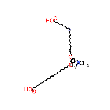 CN(C)Cc1cc(OCCCCCCCCCC=CCC=CCCCCCCCC(=O)O)cc(OCCCCCCCCCC=CC/C=C\CCCCCCCC(=O)O)c1